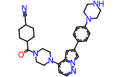 N#CC1CCC(C(=O)N2CCN(c3ccnn4cc(-c5ccc(N6CCNCC6)cc5)cc34)CC2)CC1